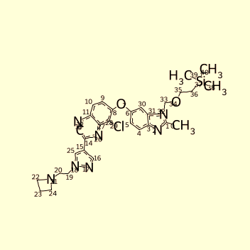 Cc1nc2ccc(Oc3ccc4ncc(-c5cnn(CCN6CCC6)c5)nc4c3Cl)cc2n1COCC[Si](C)(C)C